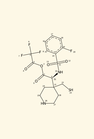 O=C(OC(=O)C(F)(F)F)[C@@H](NS(=O)(=O)c1ccccc1F)C1(CS)CCNCC1